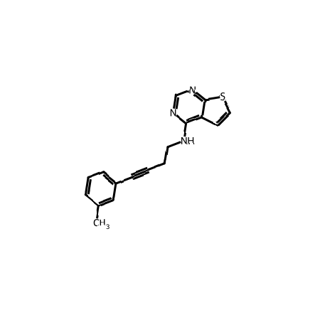 Cc1cccc(C#CCCNc2ncnc3sccc23)c1